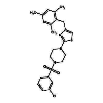 Cc1cc(C)c(Cc2csc(N3CCN(S(=O)(=O)c4cccc(Cl)c4)CC3)n2)c(C)c1